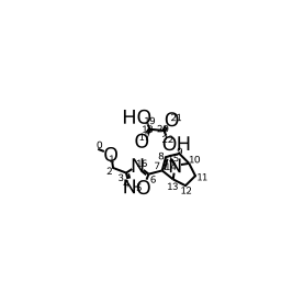 COCc1noc(C2=CCC3CCC2N3C)n1.O=C(O)C(=O)O